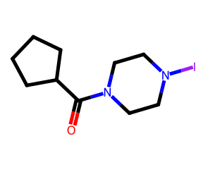 O=C(C1CCCC1)N1CCN(I)CC1